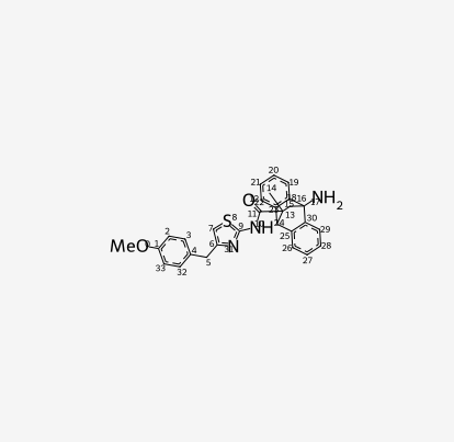 COc1ccc(Cc2csc(NC(=O)C3(C)CC4(N)c5ccccc5C3c3ccccc34)n2)cc1